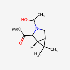 COC(=O)[C@@H]1[C@@H]2C(CN1B(C)O)C2(C)C